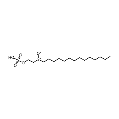 CCCCCCCCCCCCCC[S+]([O-])CCOS(=O)(=O)O